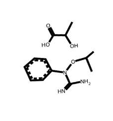 CC(C)ON(C(=N)N)c1ccccc1.CC(O)C(=O)O